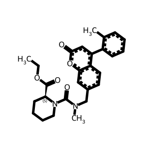 CCOC(=O)[C@@H]1CCCCN1C(=O)N(C)Cc1ccc2c(-c3ccccc3C)cc(=O)oc2c1